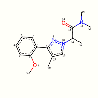 COc1ccccc1-c1nn(C(C)C(=O)N(C)C)cc1C